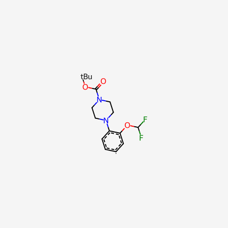 CC(C)(C)OC(=O)N1CCN(c2cc[c]cc2OC(F)F)CC1